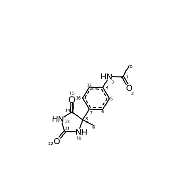 CC(=O)Nc1ccc(C2(C)NC(=O)NC2=O)cc1